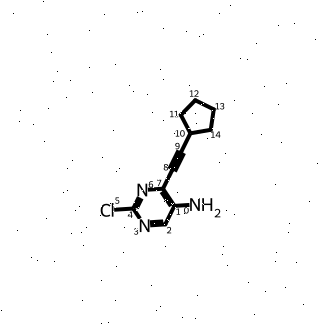 Nc1cnc(Cl)nc1C#CC1CCCC1